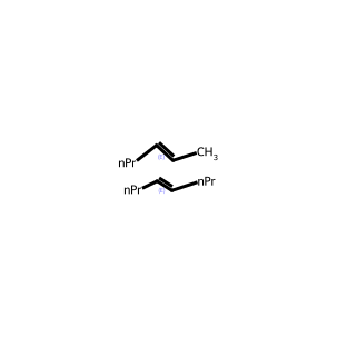 C/C=C/CCC.CCC/C=C/CCC